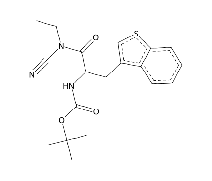 CCN(C#N)C(=O)C(Cc1csc2ccccc12)NC(=O)OC(C)(C)C